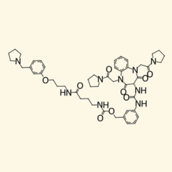 O=C(CCCNC(=O)OCc1cccc(NC(=O)NC2C(=O)N(CC(=O)N3CCCC3)c3ccccc3N(CC(=O)N3CCCC3)C2=O)c1)NCCCOc1cccc(CN2CCCC2)c1